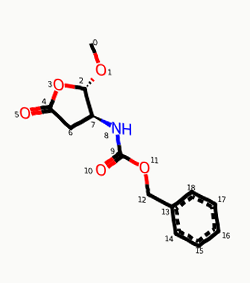 CO[C@H]1OC(=O)C[C@@H]1NC(=O)OCc1ccccc1